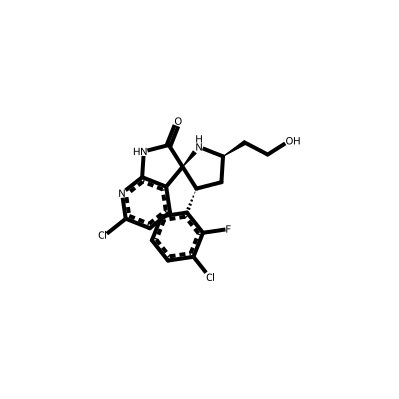 O=C1Nc2nc(Cl)ccc2[C@]12N[C@@H](CCO)C[C@@H]2c1cccc(Cl)c1F